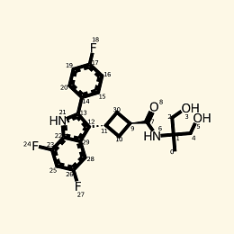 CC(CO)(CO)NC(=O)[C@H]1C[C@H](c2c(-c3ccc(F)cc3)[nH]c3c(F)cc(F)cc32)C1